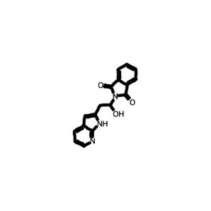 O=C1c2ccccc2C(=O)N1C(O)Cc1cc2cccnc2[nH]1